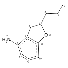 CCCC1Cc2c(N)cccc2O1